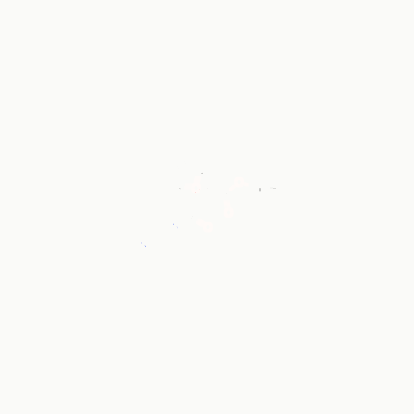 CCCCCCCOC(=O)c1c(C(=O)N2CCN(C)CC2)c2ccc1o2